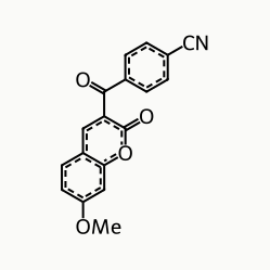 COc1ccc2cc(C(=O)c3ccc(C#N)cc3)c(=O)oc2c1